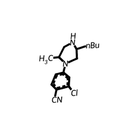 CCCCC1CN(c2ccc(C#N)c(Cl)c2)C(C)CN1